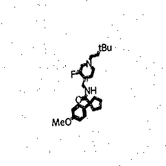 COc1ccc(C2(C(=O)NC[C@@H]3CCN(CCC(C)(C)C)C[C@@H]3F)CCCC2)cc1